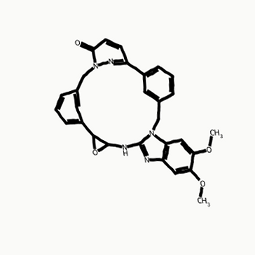 COc1cc2nc3n(c2cc1OC)Cc1cccc(c1)-c1ccc(=O)n(n1)Cc1cccc(c1)C1OC1N3